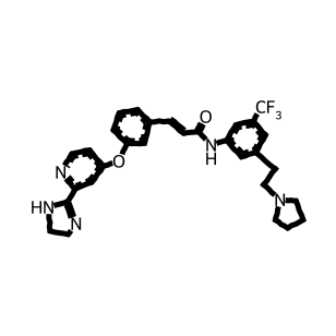 O=C(C=Cc1cccc(Oc2ccnc(C3=NCCN3)c2)c1)Nc1cc(CCN2CCCC2)cc(C(F)(F)F)c1